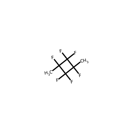 CC1(F)C(F)(F)C(C)(F)C1(F)F